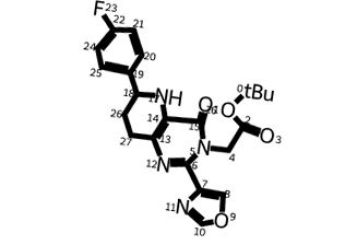 CC(C)(C)OC(=O)Cn1c(-c2cocn2)nc2c(c1=O)NC(c1ccc(F)cc1)CC2